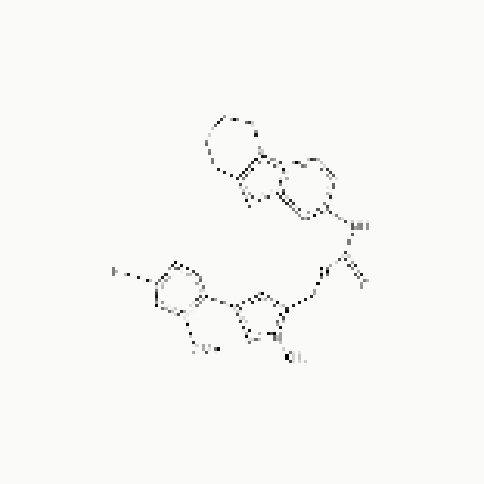 COc1cc(F)ccc1-c1cc(COC(=O)Nc2ccc3c(c2)nc2n3CCCC2)n(C)n1